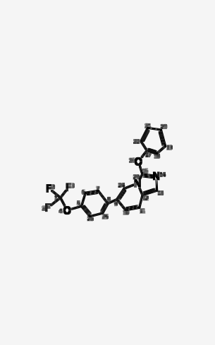 FC(F)(F)Oc1ccc(-c2ccc3cnc(Oc4ccccc4)n3c2)cc1